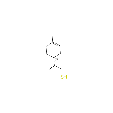 CC1=CC[C@H](C(C)CS)CC1